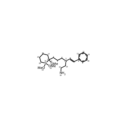 COC1(CCCN(C=Cc2ccccc2)CCN)CCCC[Si]1(OC)OC